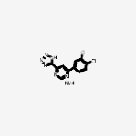 Clc1ccc(-c2cc(-c3nnn[nH]3)ncn2)cc1Cl.[NaH]